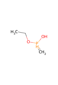 C=[PH](O)OCC